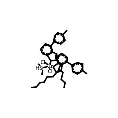 CCCCCCC1=Cc2c(-c3ccc(C)cc3)cccc2[CH]1[Zr]([Cl])([Cl])([CH]1C(CCCCCC)=Cc2c(-c3ccc(C)cc3)cccc21)[SiH](C)C